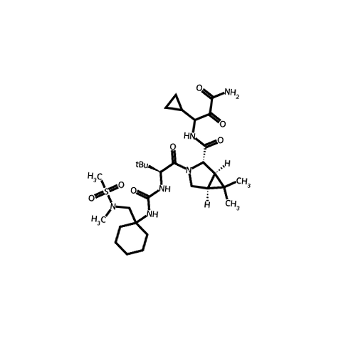 CN(CC1(NC(=O)N[C@H](C(=O)N2C[C@H]3[C@@H]([C@H]2C(=O)NC(C(=O)C(N)=O)C2CC2)C3(C)C)C(C)(C)C)CCCCC1)S(C)(=O)=O